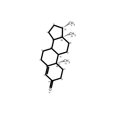 C[C@H]1CCC2C3CCC4=CC(=O)CC[C@]4(C)C3CC[C@@]21C